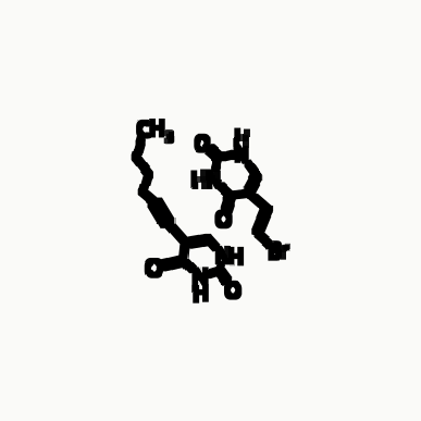 CCCCC#Cc1c[nH]c(=O)[nH]c1=O.O=c1[nH]cc(C=CBr)c(=O)[nH]1